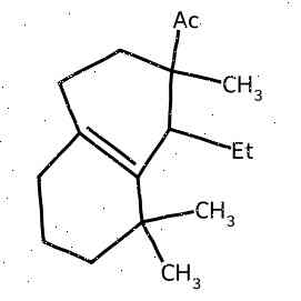 CCC1C2=C(CCCC2(C)C)CCC1(C)C(C)=O